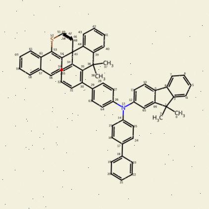 CC1(C)c2ccccc2-c2ccc(N(c3ccc(-c4ccccc4)cc3)c3ccc(-c4cccc5c4C(C)(C)c4ccccc4C54c5ccccc5Sc5c4ccc4ccccc54)cc3)cc21